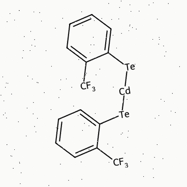 FC(F)(F)c1ccccc1[Te][Cd][Te]c1ccccc1C(F)(F)F